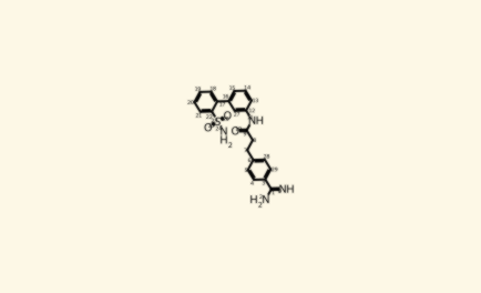 N=C(N)c1ccc(CCC(=O)Nc2cccc(-c3ccccc3S(N)(=O)=O)c2)cc1